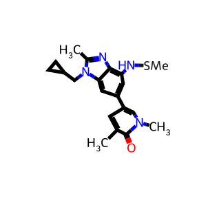 CSNc1cc(-c2cc(C)c(=O)n(C)c2)cc2c1nc(C)n2CC1CC1